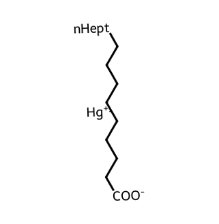 CCCCCCCCCCCCCCCC(=O)[O-].[Hg+]